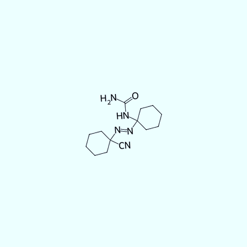 N#CC1(N=NC2(NC(N)=O)CCCCC2)CCCCC1